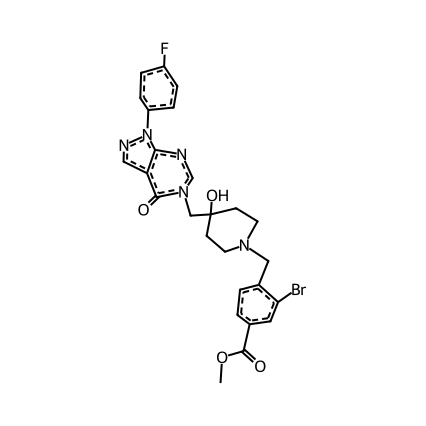 COC(=O)c1ccc(CN2CCC(O)(Cn3cnc4c(cnn4-c4ccc(F)cc4)c3=O)CC2)c(Br)c1